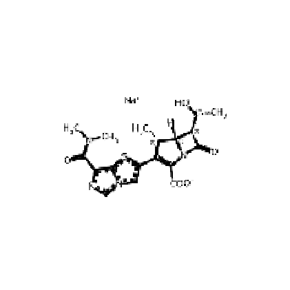 C[C@@H](O)[C@H]1C(=O)N2C(C(=O)[O-])=C(c3cn4cnc(C(=O)N(C)C)c4s3)[C@H](C)[C@H]12.[Na+]